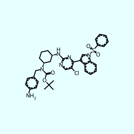 CC(C)(C)OC(=O)N(Cc1ccc(N)cc1)[C@H]1CCC[C@@H](Nc2ncc(Cl)c(-c3cn(S(=O)(=O)c4ccccc4)c4ccccc34)n2)C1